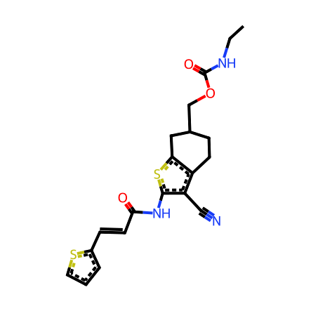 CCNC(=O)OCC1CCc2c(sc(NC(=O)C=Cc3cccs3)c2C#N)C1